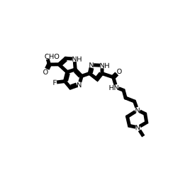 CN1CCN(CCCNC(=O)c2cc(-c3ncc(F)c4c(C(=O)C=O)c[nH]c34)n[nH]2)CC1